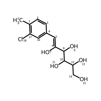 Cc1ccc(C=C(O)C(O)C(O)C(O)CO)cc1Cl